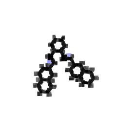 C(=N\c1ccccc1/N=C/c1ccc2ccccc2c1)/c1ccc2ccccc2c1